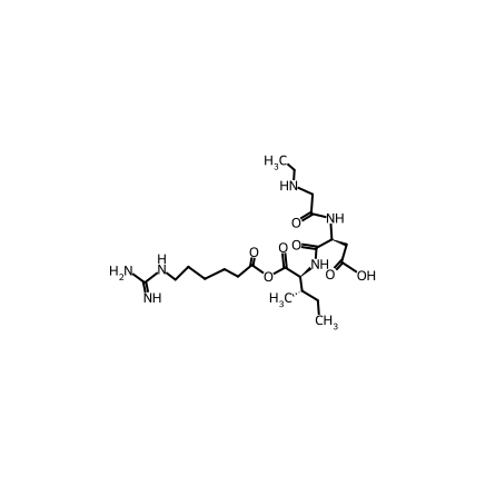 CCNCC(=O)N[C@@H](CC(=O)O)C(=O)N[C@H](C(=O)OC(=O)CCCCCNC(=N)N)[C@@H](C)CC